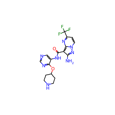 Nc1nn2ccc(C(F)(F)F)nc2c1C(=O)Nc1cncnc1OC1CCNCC1